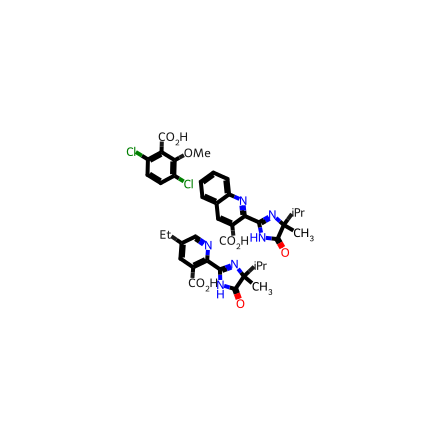 CC(C)C1(C)N=C(c2nc3ccccc3cc2C(=O)O)NC1=O.CCc1cnc(C2=NC(C)(C(C)C)C(=O)N2)c(C(=O)O)c1.COc1c(Cl)ccc(Cl)c1C(=O)O